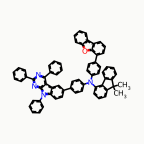 CC1(C)c2ccccc2-c2c(N(c3ccc(-c4ccc5c(c4)c4c(-c6ccccc6)nc(-c6ccccc6)nc4n5-c4ccccc4)cc3)c3ccc(-c4cccc5c4oc4ccccc45)cc3)cccc21